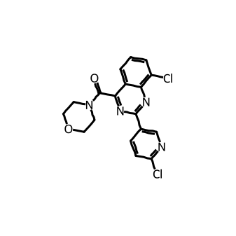 O=C(c1nc(-c2ccc(Cl)nc2)nc2c(Cl)cccc12)N1CCOCC1